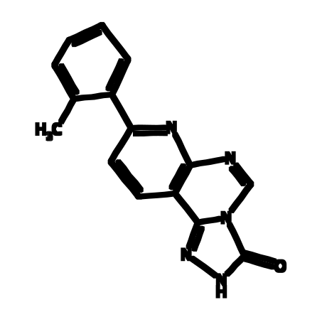 Cc1ccccc1-c1ccc2c(ncn3c(=O)[nH]nc23)n1